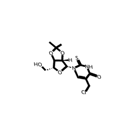 CC1(C)OC2[C@@H](CO)O[C@@H](n3cc(CCl)c(=O)[nH]c3=S)[C@H]2O1